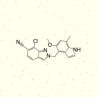 COc1cc(C)c2[nH]ccc2c1Cn1cc2ccc(C#N)c(Cl)c2n1